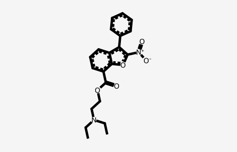 CCN(CC)CCOC(=O)c1cccc2c(-c3ccccc3)c([N+](=O)[O-])oc12